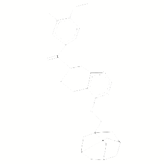 COc1ccc(C(=O)N2CCc3c(ncnc3NCC34CC5CC(CC(C5)C3)C4)C2)cc1F